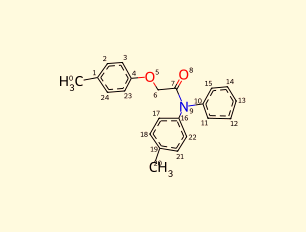 Cc1ccc(OCC(=O)N(c2ccccc2)c2ccc(C)cc2)cc1